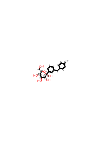 CCc1ccc(Cc2cccc([C@@]3(O)O[C@H](CO)[C@@H](O)[C@H](O)[C@H]3O)c2)cc1